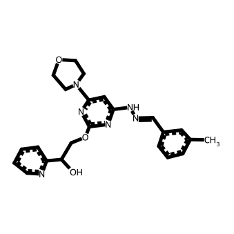 Cc1cccc(/C=N/Nc2cc(N3CCOCC3)nc(OCC(O)c3ccccn3)n2)c1